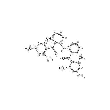 Cc1cc(C)c(C(=O)c2ccccc2[P]c2ccccc2C(=O)c2c(C)cc(C)cc2C)c(C)c1